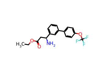 CCOC(=O)C[C@H](N)c1cccc(-c2ccc(OC(F)(F)F)cc2)c1